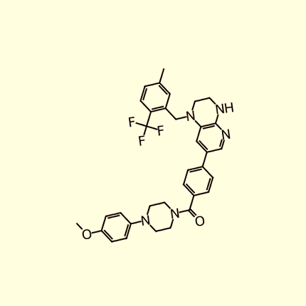 COc1ccc(N2CCN(C(=O)c3ccc(-c4cnc5c(c4)N(Cc4cc(C)ccc4C(F)(F)F)CCN5)cc3)CC2)cc1